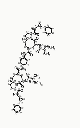 CN[C@@H](C)C(=O)N[C@H]1CN(C(=O)Nc2ccc(NC(=O)N3CC[C@H]4CC[C@@H](C(=O)N[C@H]5C[C@@H]5c5ccccc5)N4C(=O)[C@@H](NC(=O)[C@H](C)NC)C3)cc2)CC[C@H]2CC[C@@H](C(=O)N[C@H]3C[C@@H]3c3ccccc3)N2C1=O